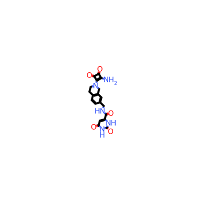 Nc1c(N2CCc3ccc(CNC(=O)c4cc(=O)[nH]c(=O)[nH]4)cc3C2)c(=O)c1=O